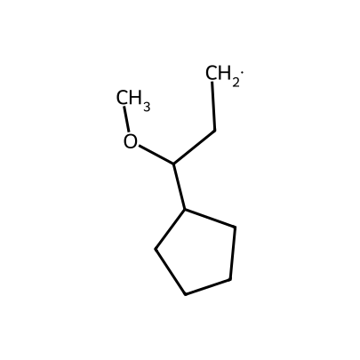 [CH2]CC(OC)C1CCCC1